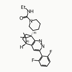 CCNC(=O)N1CCC[C@H](C23CC[C@@H](c4cc(-c5c(F)cccc5F)nnc42)C3(C)C)C1